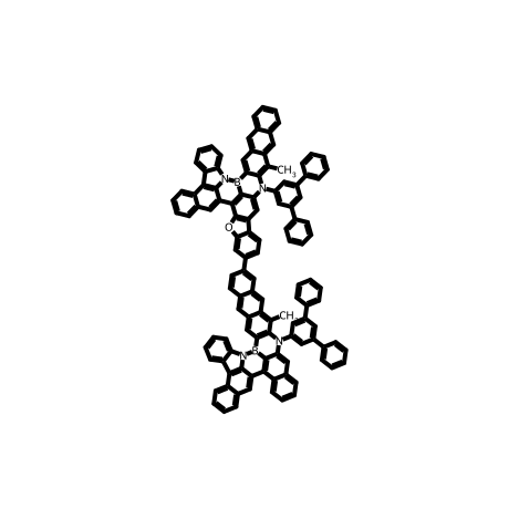 Cc1c2c(cc3cc4ccc(-c5ccc6c(c5)oc5c7c8c(cc56)N(c5cc(-c6ccccc6)cc(-c6ccccc6)c5)c5c(cc6cc9ccccc9cc6c5C)B8n5c6ccccc6c6c8ccccc8cc-7c65)cc4cc13)B1c3c(cc4ccccc4c3-c3cc4ccccc4c4c5ccccc5n1c34)N2c1cc(-c2ccccc2)cc(-c2ccccc2)c1